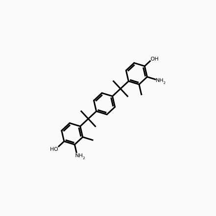 Cc1c(C(C)(C)c2ccc(C(C)(C)c3ccc(O)c(N)c3C)cc2)ccc(O)c1N